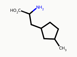 CC1CCC(CC(N)C(=O)O)C1